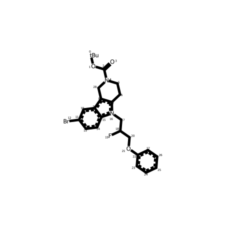 CC(C)(C)OC(=O)N1CCc2c(c3cc(Br)ccc3n2CC(F)COc2ccccc2)C1